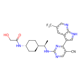 C[C@@H](Nc1ncc(C#N)c(-c2c[nH]c3ncc(C(F)(F)F)cc23)n1)[C@H]1CC[C@H](NC(=O)CO)CC1